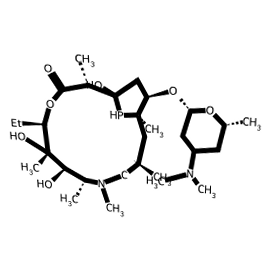 CC[C@H]1OC(=O)[C@H](C)C2(O)C[C@@H](O[C@H]3CC(N(C)C)C[C@@H](C)O3)[C@@](C)(C[C@@H](C)CN(C)[C@H](C)[C@@H](O)[C@]1(C)O)P2